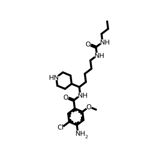 CCCNC(=O)NCCCCC(NC(=O)c1cc(Cl)c(N)cc1OC)C1CCNCC1